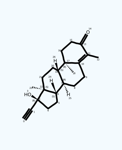 C#C[C@@]1(O)CC[C@H]2[C@@H]3CCC4=C(C)C(=O)CC[C@]4(C)[C@H]3CC[C@@]21C